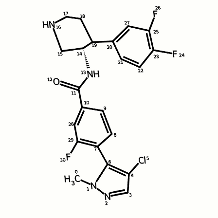 Cn1ncc(Cl)c1-c1ccc(C(=O)N[C@@H]2CNCCC2c2ccc(F)c(F)c2)cc1F